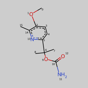 COc1ccc(C(C)(C)OC(N)=O)nc1C